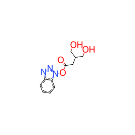 O=C(CC(CO)CO)On1nnc2ccccc21